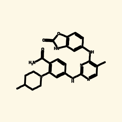 Cc1cnc(Nc2ccc(C(N)=O)c(N3CCC(C)CC3)c2)nc1Nc1ccc2oc(=O)[nH]c2c1